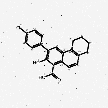 O=C(O)c1c(O)c(-c2ccc(Cl)cc2)cc2c3c(ccc12)CCCC3